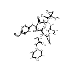 COc1ccc(C[C@H](NC(=O)[C@@H](NC(=O)CN2CCOCC2)C2CC2)C(=O)N[C@@H](CC2CCCC2)C(=O)[C@@]2(C)CO2)cc1